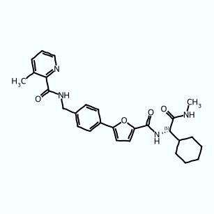 CNC(=O)[C@@H](NC(=O)c1ccc(-c2ccc(CNC(=O)c3ncccc3C)cc2)o1)C1CCCCC1